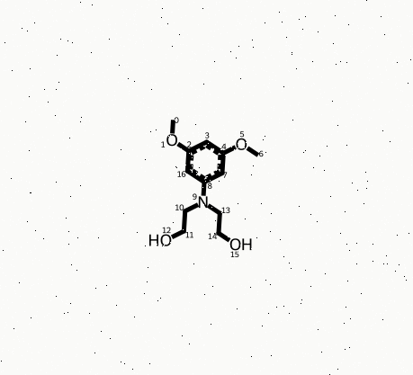 COc1cc(OC)cc(N(CCO)CCO)c1